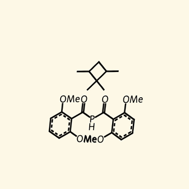 CC1CC(C)C1(C)C.COc1cccc(OC)c1C(=O)PC(=O)c1c(OC)cccc1OC